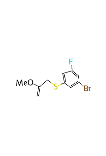 C=C(CSc1cc(F)cc(Br)c1)OC